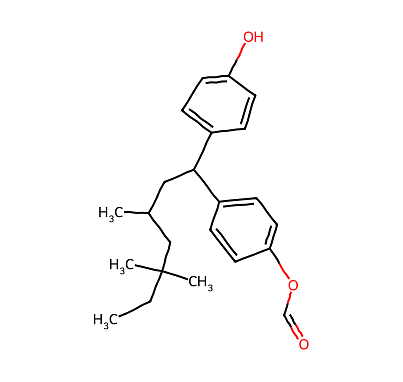 CCC(C)(C)CC(C)CC(c1ccc(O)cc1)c1ccc(OC=O)cc1